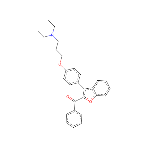 CCN(CC)CCCOc1ccc(-c2c(C(=O)c3ccccc3)oc3ccccc23)cc1